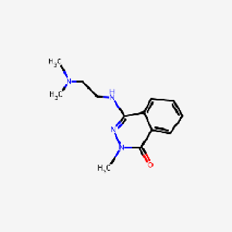 CN(C)CCNc1nn(C)c(=O)c2ccccc12